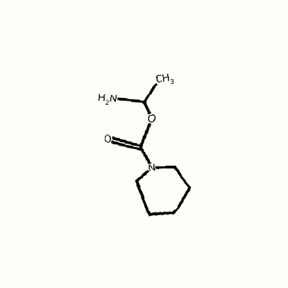 CC(N)OC(=O)N1CCCCC1